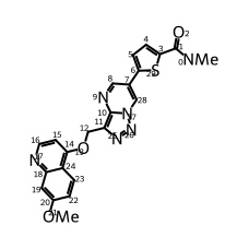 CNC(=O)c1ccc(-c2cnc3c(COc4ccnc5cc(OC)ccc45)nnn3c2)s1